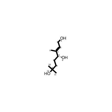 C/C(=C\CO)[C@H](O)CCC(C)(C)O